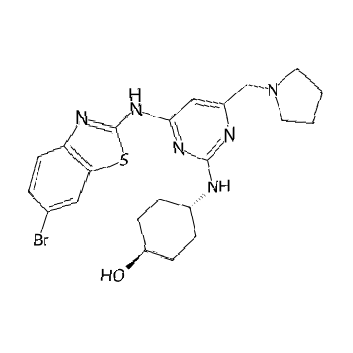 O[C@H]1CC[C@H](Nc2nc(CN3CCCC3)cc(Nc3nc4ccc(Br)cc4s3)n2)CC1